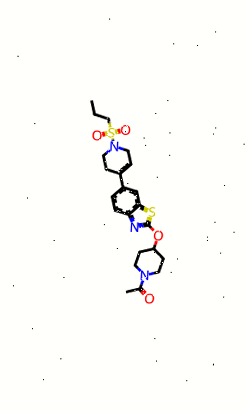 CCCS(=O)(=O)N1CC=C(c2ccc3nc(OC4CCN(C(C)=O)CC4)sc3c2)CC1